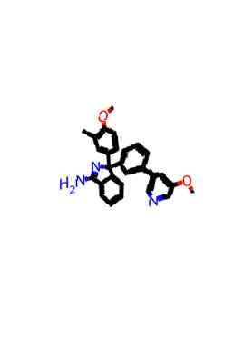 COc1cncc(-c2cccc(C3(c4ccc(OC)c(C)c4)N=C(N)c4ccccc43)c2)c1